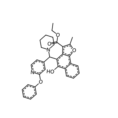 CCOC(=O)c1c(C)oc2c1c(C(c1ccnc(Oc3ccccc3)c1)N1CCCCC1)c(O)c1ccccc12